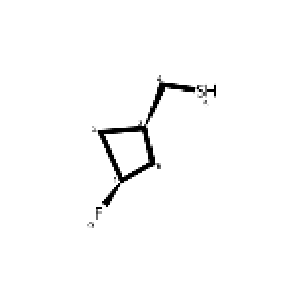 F[C@H]1C[C@@H](CS)C1